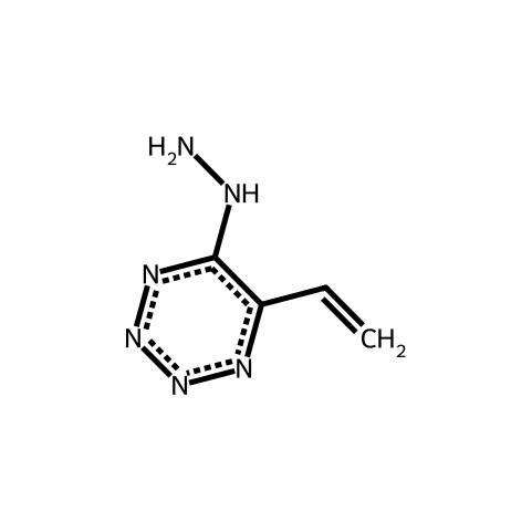 C=Cc1nnnnc1NN